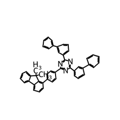 CC1(C)c2ccccc2-c2cccc(-c3ccc(-c4nc(-c5cccc(-c6ccccc6)c5)nc(-c5cccc(-c6ccccc6)c5)n4)cc3)c21